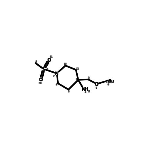 CCCCOCC1(N)CCN(S(C)(=O)=O)CC1